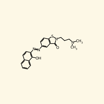 CN(C)CCCn1sc2ccc(N=Nc3ccc4ccccc4c3O)cc2c1=O